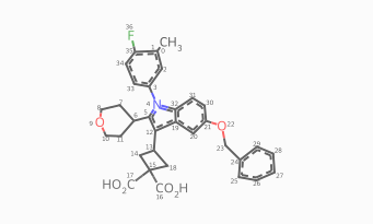 Cc1cc(-n2c(C3CCOCC3)c(C3CC(C(=O)O)(C(=O)O)C3)c3cc(OCc4ccccc4)ccc32)ccc1F